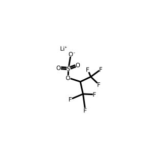 O=S(=O)([O-])OC(C(F)(F)F)C(F)(F)F.[Li+]